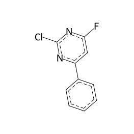 Fc1cc(-c2ccccc2)nc(Cl)n1